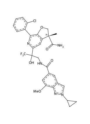 COc1cc(C(=O)NCC(O)(c2cc3c(c(-c4ccccc4Cl)n2)OC[C@]3(C)C(N)=O)C(F)(F)F)cc2cn(C3CC3)nc12